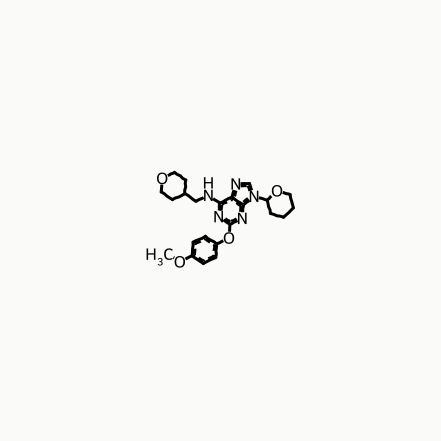 COc1ccc(Oc2nc(NCC3CCOCC3)c3ncn(C4CCCCO4)c3n2)cc1